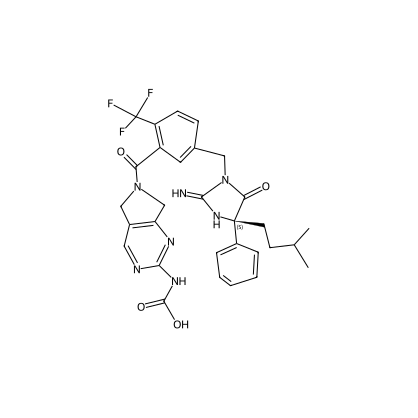 CC(C)CC[C@@]1(c2ccccc2)NC(=N)N(Cc2ccc(C(F)(F)F)c(C(=O)N3Cc4cnc(NC(=O)O)nc4C3)c2)C1=O